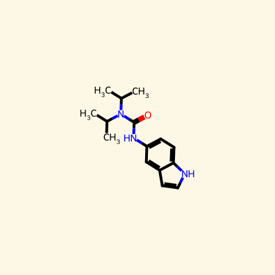 CC(C)N(C(=O)Nc1ccc2[nH]ccc2c1)C(C)C